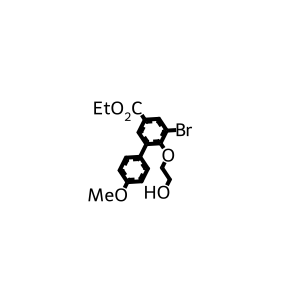 CCOC(=O)c1cc(Br)c(OCCO)c(-c2ccc(OC)cc2)c1